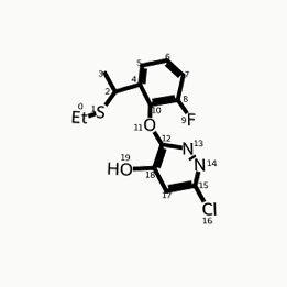 CCSC(C)c1cccc(F)c1Oc1nnc(Cl)cc1O